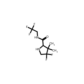 CC1(C)C(C(=O)NCC(F)(F)F)NCC1(F)F